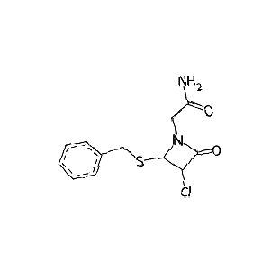 NC(=O)CN1C(=O)C(Cl)C1SCc1ccccc1